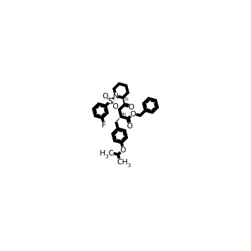 CC(C)Oc1ccc(C[C@H](CC(=O)[C@@H]2CCCCN2S(=O)(=O)c2cccc(F)c2)C(=O)OCc2ccccc2)cc1